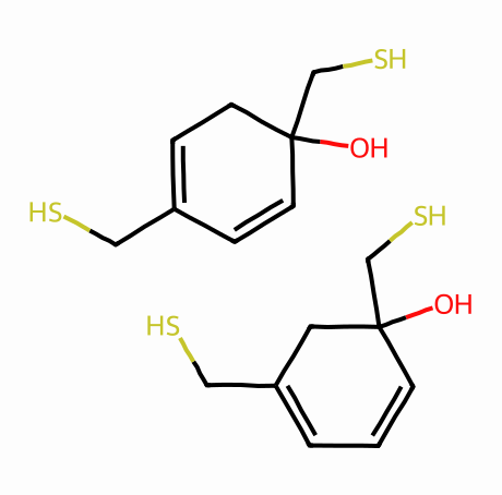 OC1(CS)C=CC(CS)=CC1.OC1(CS)C=CC=C(CS)C1